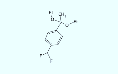 CCOC(C)(OCC)c1ccc(C(F)F)cc1